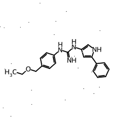 CCOCc1ccc(NC(=N)Nc2c[nH]c(-c3ccccc3)c2)cc1